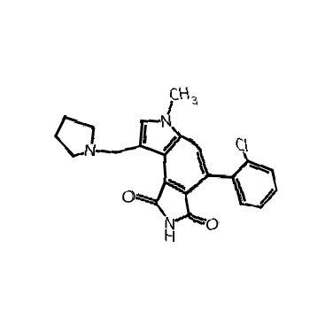 Cn1cc(CN2CCCC2)c2c3c(c(-c4ccccc4Cl)cc21)C(=O)NC3=O